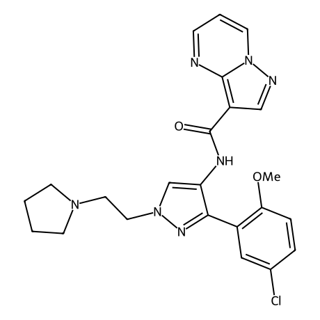 COc1ccc(Cl)cc1-c1nn(CCN2CCCC2)cc1NC(=O)c1cnn2cccnc12